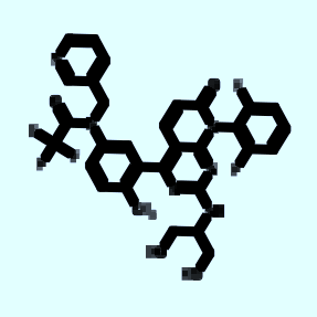 Cc1ccc(N(Cc2cccnc2)C(=O)C(F)(F)F)cc1-c1nc(NC(CO)CO)nc2c1ccc(=O)n2-c1c(F)cccc1F